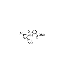 COC(=O)c1cccc(C(=O)Nc2cc(C(C)=O)ccc2N2CCOCC2)c1